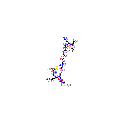 CC(=O)N[C@@H](C)C(=O)N[C@H](CCC(N)=O)C(=O)N[C@@H](CCCCN)C(=O)N[C@H](C)C(=O)NCC(=O)NCC(=O)NCC(=O)NCC(=O)NCC(=O)NCCCC[C@H](NC(=O)[C@@H](CCC(N)=O)NC(=O)[C@H](C)NC(=O)[C@H](CS)NC(C)=O)C(=O)N[C@H](C)C(=O)N[C@H](C)C(=O)O